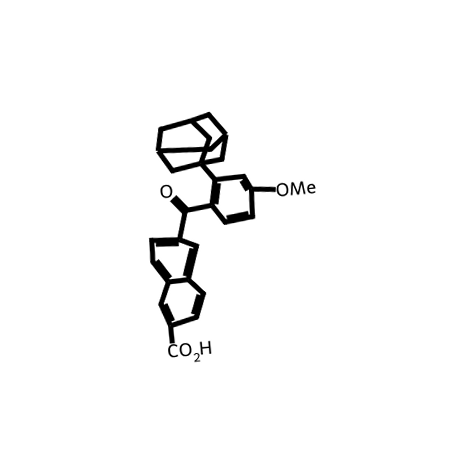 COc1ccc(C(=O)c2ccc3cc(C(=O)O)ccc3c2)c(C23CC4CC(CC(C4)C2)C3)c1